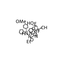 C#C[C@@]1(F)C[C@@](F)(CO)O[C@H]1n1cnc2c(OCC)nc(NC(c3ccccc3)(c3ccccc3)c3ccc(OC)cc3)nc21